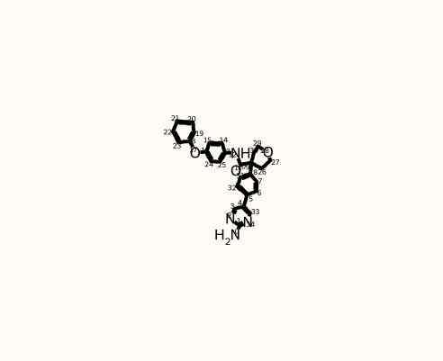 Nc1ncc(-c2ccc(C3(C(=O)Nc4ccc(Oc5ccccc5)cc4)CCOCC3)cc2)cn1